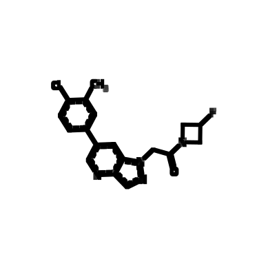 Cc1cc(-c2cnc3cnn(CC(=O)N4CC(F)C4)c3c2)ccc1Cl